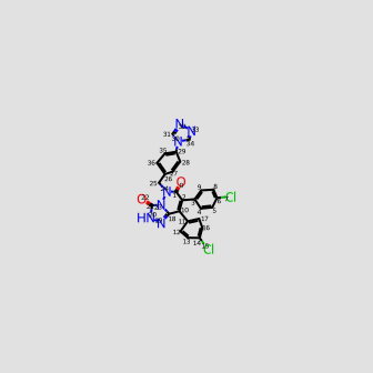 O=c1c(-c2ccc(Cl)cc2)c(-c2ccc(Cl)cc2)c2n[nH]c(=O)n2n1Cc1ccc(-n2cnnc2)cc1